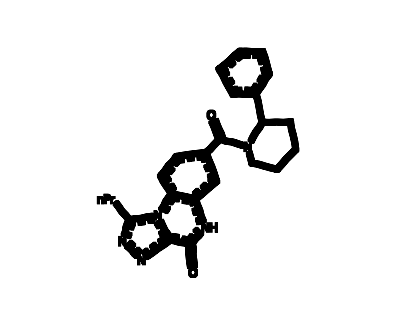 CCCc1nnc2c(=O)[nH]c3cc(C(=O)N4CCCCC4c4ccccc4)ccc3n12